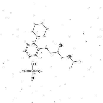 CC(C)NCC(O)COc1ccccc1C1CCCCC1.O=S(=O)(O)O